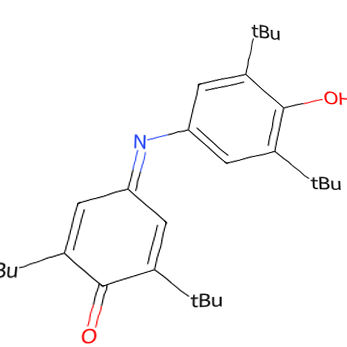 CC(C)(C)C1=CC(=Nc2cc(C(C)(C)C)c(O)c(C(C)(C)C)c2)C=C(C(C)(C)C)C1=O